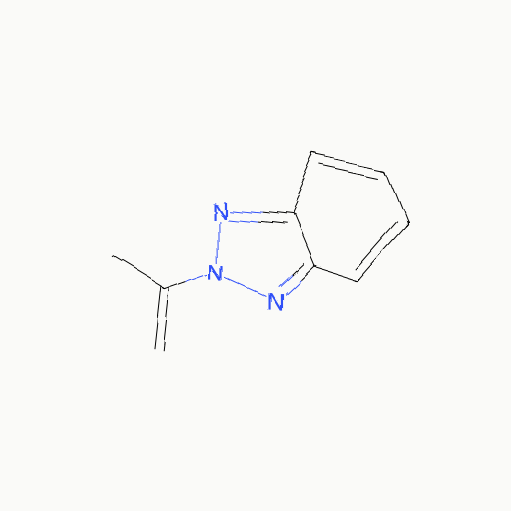 C=C(C)n1nc2ccccc2n1